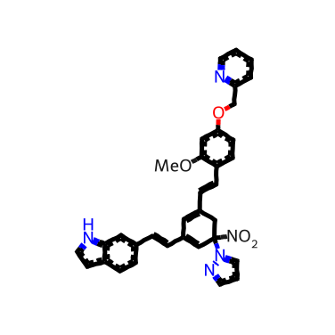 COc1cc(OCc2ccccn2)ccc1C=CC1=CC(C=Cc2ccc3cc[nH]c3c2)=CC(n2cccn2)([N+](=O)[O-])C1